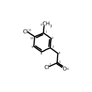 Cc1cc(CC(=O)Cl)ccc1Cl